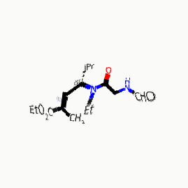 CCOC(=O)/C(C)=C/[C@H](C(C)C)N(CC)C(=O)CNC=O